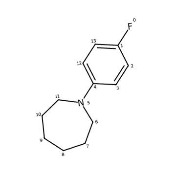 Fc1ccc(N2CCCCCC2)cc1